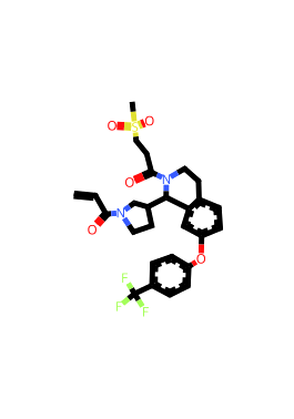 C=CC(=O)N1CCC(C2c3cc(Oc4ccc(C(F)(F)F)cc4)ccc3CCN2C(=O)CCS(C)(=O)=O)C1